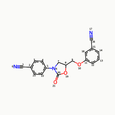 N#Cc1ccc(N2CC(COc3cccc(C#N)c3)OC2=O)cc1